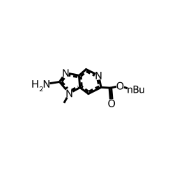 CCCCOC(=O)c1cc2c(cn1)nc(N)n2C